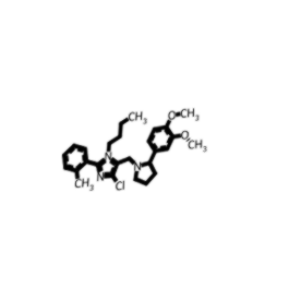 CCCCn1c(-c2ccccc2C)nc(Cl)c1CN1CCCC1c1ccc(OC)c(OC)c1